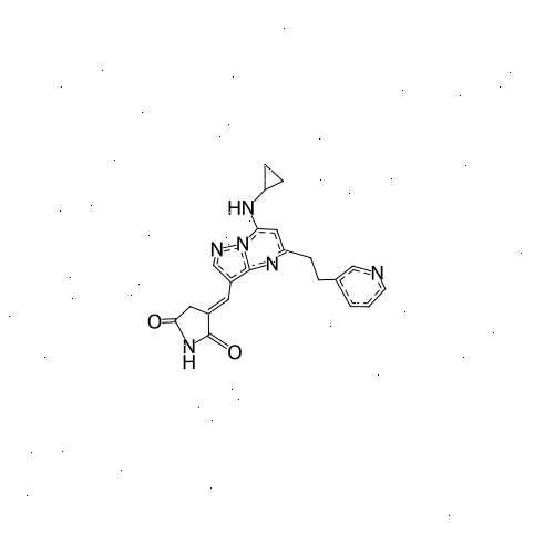 O=C1C/C(=C\c2cnn3c(NC4CC4)cc(CCc4cccnc4)nc23)C(=O)N1